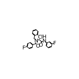 O=C(CN(Cc1ccccc1Cl)C(=O)c1ccc(F)cc1)Nc1cccc(F)c1